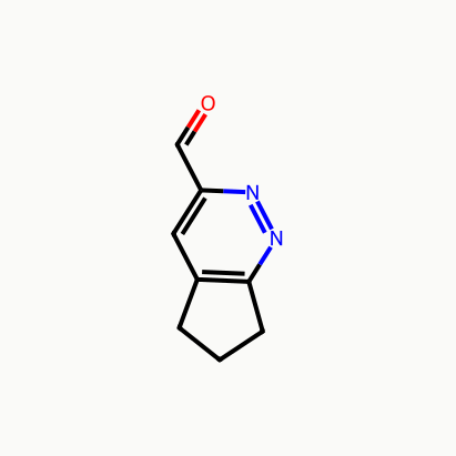 O=Cc1cc2c(nn1)CCC2